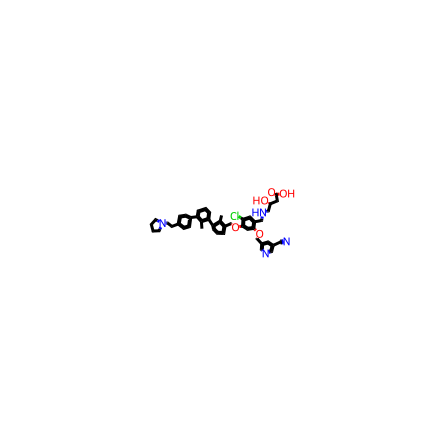 Cc1c(COc2cc(OCc3cncc(C#N)c3)c(CNC[C@@H](O)CC(=O)O)cc2Cl)cccc1-c1cccc(-c2ccc(CCN3CCCC3)cc2)c1C